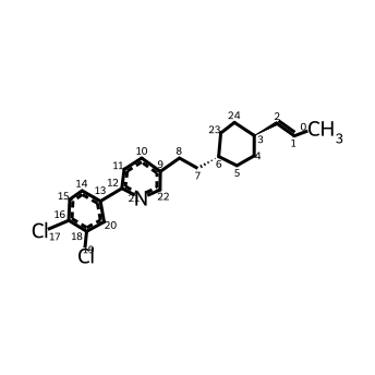 CC=C[C@H]1CC[C@H](CCc2ccc(-c3ccc(Cl)c(Cl)c3)nc2)CC1